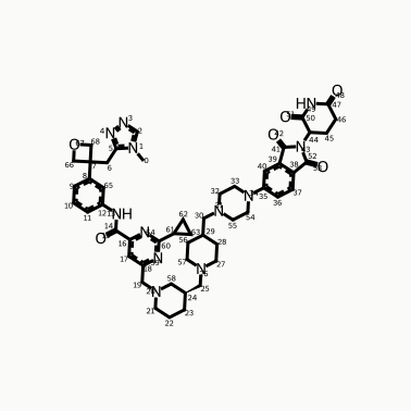 Cn1cnnc1CC1(c2cccc(NC(=O)c3cc(CN4CCC[C@H](CN5CCC(CN6CCN(c7ccc8c(c7)C(=O)N(C7CCC(=O)NC7=O)C8=O)CC6)CC5)C4)nc(C4CC4)n3)c2)COC1